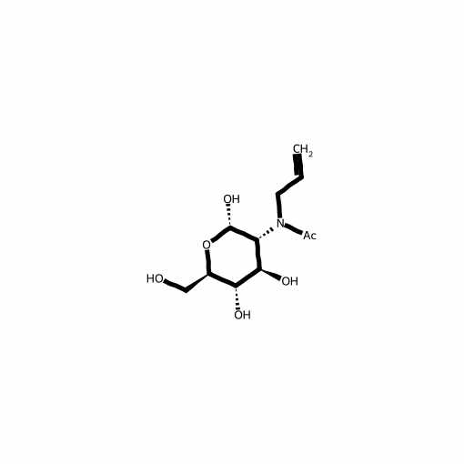 C=CCN(C(C)=O)[C@@H]1[C@@H](O)[C@H](O)[C@@H](CO)O[C@@H]1O